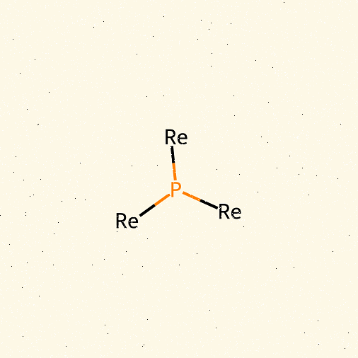 [Re][P]([Re])[Re]